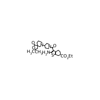 CCOC(=O)C1CCc2c(sc(N)c2C(=O)N2CCC(N3CCCC4(C3)CC(C)(C)OC4=O)CC2)C1